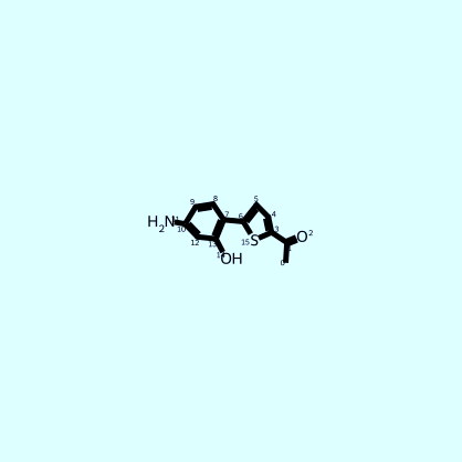 CC(=O)c1ccc(-c2ccc(N)cc2O)s1